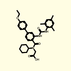 CCOc1ccc(-c2ccc(C(=O)N(CC(=O)O)C3CCCCC3)c(NC(=O)Nc3c(C)cc(C)cc3C)c2)cc1